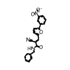 N#C/C(=C\c1ccc(-c2cccc([N+](=O)[O-])c2)o1)C(=O)NCc1ccccc1